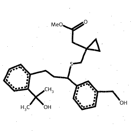 COC(=O)CC1(CSC(CCc2ccccc2C(C)(C)O)c2cccc(CO)c2)CC1